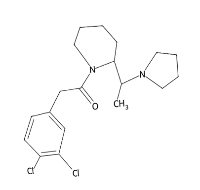 CC(C1CCCCN1C(=O)Cc1ccc(Cl)c(Cl)c1)N1CCCC1